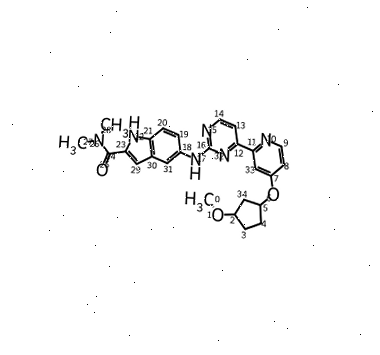 COC1CCC(Oc2ccnc(-c3ccnc(Nc4ccc5[nH]c(C(=O)N(C)C)cc5c4)n3)c2)C1